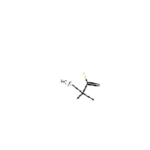 C=C(F)C(C)(C)C(=O)O